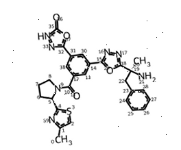 Cc1csc([C@H]2CCCN2C(=O)c2cc(-c3nnc([C@@](C)(N)Cc4ccccc4)o3)cc(-c3n[nH]c(=O)o3)c2)n1